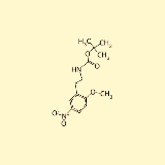 COc1ccc([N+](=O)[O-])cc1CCNC(=O)OC(C)(C)C